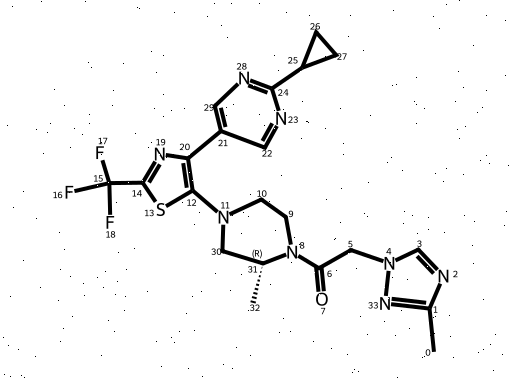 Cc1ncn(CC(=O)N2CCN(c3sc(C(F)(F)F)nc3-c3cnc(C4CC4)nc3)C[C@H]2C)n1